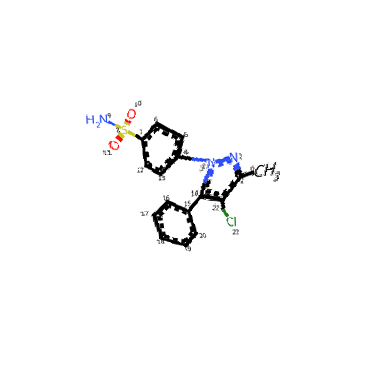 Cc1nn(-c2ccc(S(N)(=O)=O)cc2)c(-c2ccccc2)c1Cl